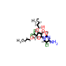 CCCCOC[C@@]1(C(F)F)O[C@@H](n2cc(Cl)c(N)nc2=O)[C@H](O)[C@@H]1OCCCC